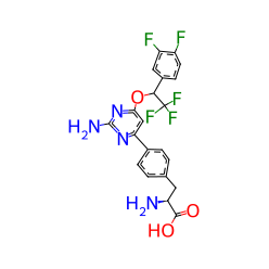 Nc1nc(OC(c2ccc(F)c(F)c2)C(F)(F)F)cc(-c2ccc(C[C@H](N)C(=O)O)cc2)n1